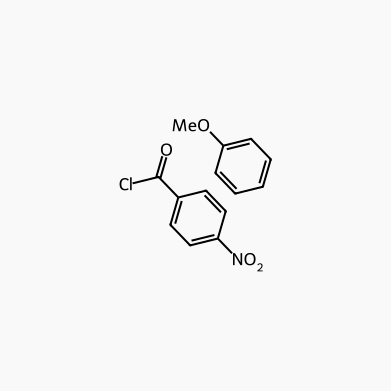 COc1ccccc1.O=C(Cl)c1ccc([N+](=O)[O-])cc1